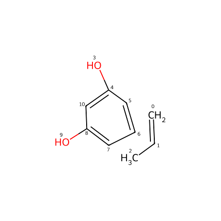 C=CC.Oc1cccc(O)c1